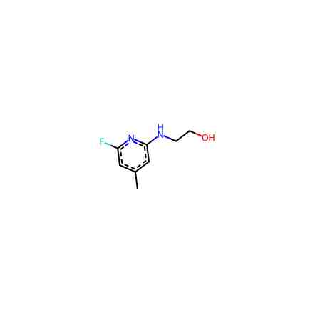 Cc1cc(F)nc(NCCO)c1